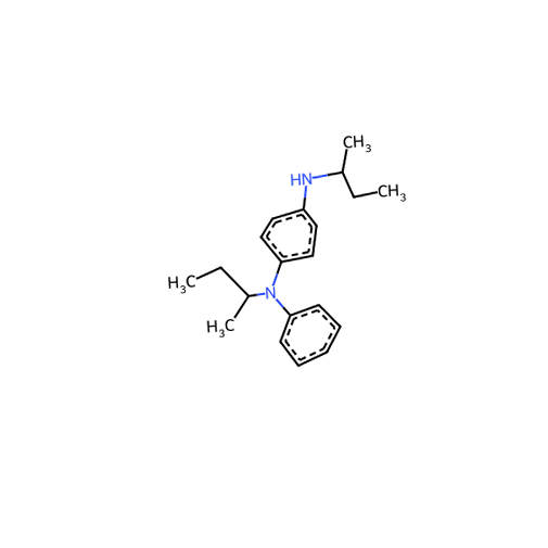 CCC(C)Nc1ccc(N(c2ccccc2)C(C)CC)cc1